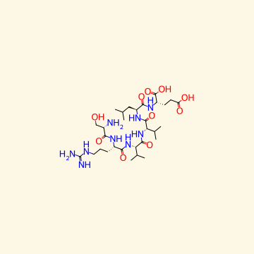 CC(C)C[C@H](NC(=O)[C@@H](NC(=O)[C@@H](NC(=O)[C@H](CCCNC(=N)N)NC(=O)[C@@H](N)CO)C(C)C)C(C)C)C(=O)N[C@@H](CCC(=O)O)C(=O)O